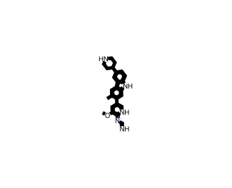 COc1cc(-c2cc3[nH]c4ccc(C5CCNCC5)cc4c3cc2C)c[nH]/c1=N\C=N